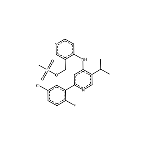 CC(C)c1cnc(-c2cc(Cl)ccc2F)cc1Nc1ccncc1COS(C)(=O)=O